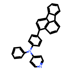 c1ccc(N(c2ccncc2)c2ccc(-c3ccc4c5c(cccc35)-c3ccccc3-4)cc2)cc1